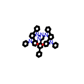 c1ccc(-c2ccc(-c3cc(-n4c5ccccc5c5ccc6c(c7ccccc7n6-c6ccccc6)c54)nc(-n4c5ccccc5c5ccc6c(c7ccccc7n6-c6ccccc6)c54)n3)cc2)cc1